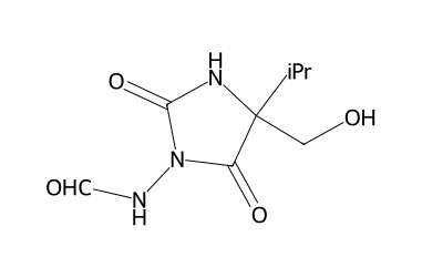 CC(C)C1(CO)NC(=O)N(NC=O)C1=O